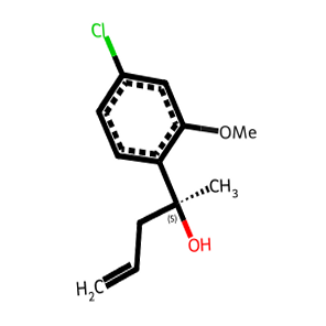 C=CC[C@](C)(O)c1ccc(Cl)cc1OC